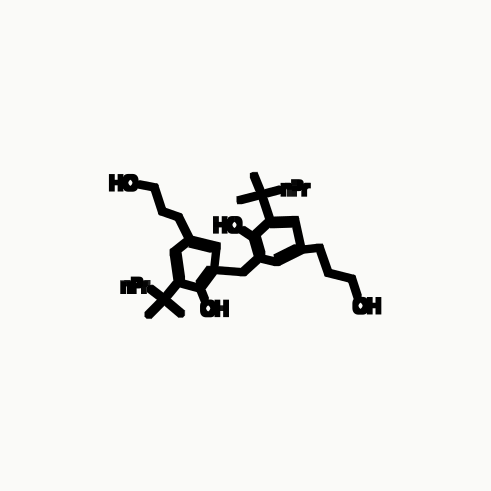 CCCC(C)(C)c1cc(CCCO)cc(Cc2cc(CCCO)cc(C(C)(C)CCC)c2O)c1O